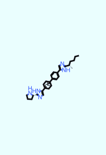 CCCC[C@H](C)c1ncc(-c2ccc(C34CCC(c5cnc([C@@H]6CCCN6)[nH]5)(CC3)CC4)cc2)[nH]1